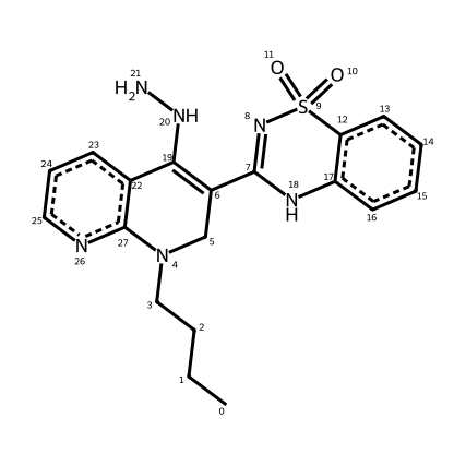 CCCCN1CC(C2=NS(=O)(=O)c3ccccc3N2)=C(NN)c2cccnc21